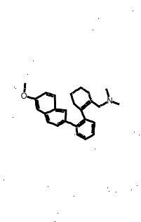 COc1ccc2cc(-c3[c]cccc3C3=C(CN(C)C)CCCC3)ccc2c1